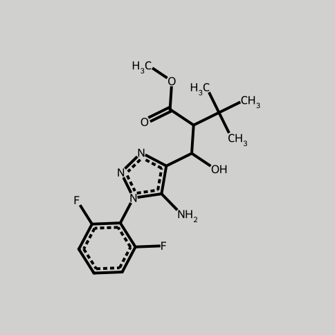 COC(=O)C(C(O)c1nnn(-c2c(F)cccc2F)c1N)C(C)(C)C